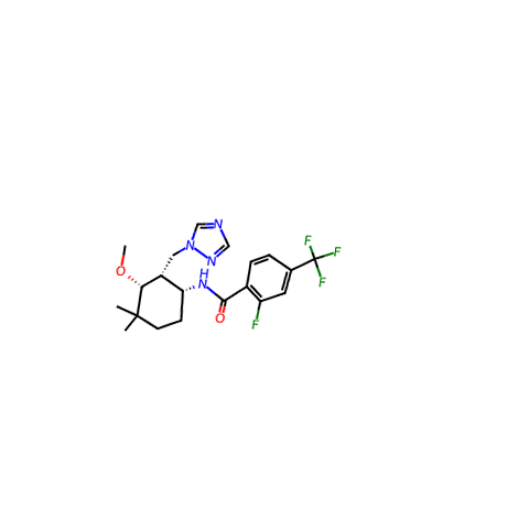 CO[C@@H]1[C@H](Cn2cncn2)[C@H](NC(=O)c2ccc(C(F)(F)F)cc2F)CCC1(C)C